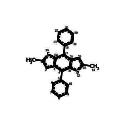 Cc1cc2c(-c3ccccc3)c3sc(C)cc3c(-c3ccccc3)c2s1